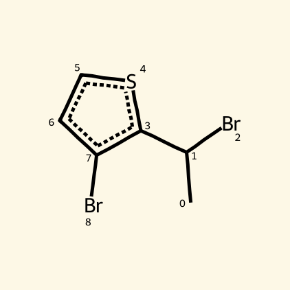 CC(Br)c1sccc1Br